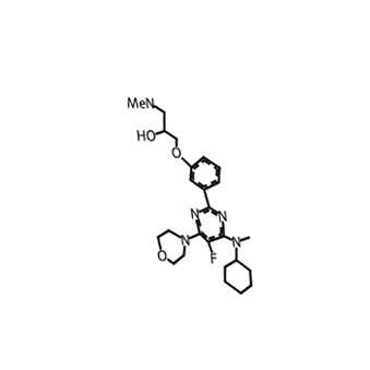 CNCC(O)COc1cccc(-c2nc(N3CCOCC3)c(F)c(N(C)C3CCCCC3)n2)c1